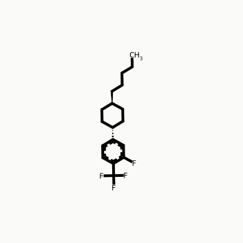 CCCCC[C@H]1CC[C@H](c2ccc(C(F)(F)F)c(F)c2)CC1